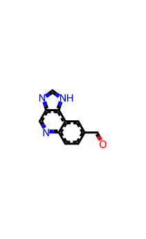 O=Cc1ccc2ncc3nc[nH]c3c2c1